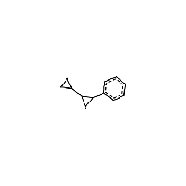 [CH]1C(c2ccccc2)C1C1CC1